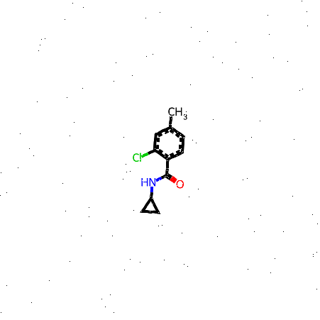 Cc1ccc(C(=O)NC2CC2)c(Cl)c1